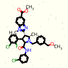 COCc1cccc(CN2C(C(=O)Nc3cccc(Cl)c3)C(c3cccc(Cl)c3F)[C@H](c3nc4cc(C(=O)OC)ccc4n3C)[C@@H]2C)c1